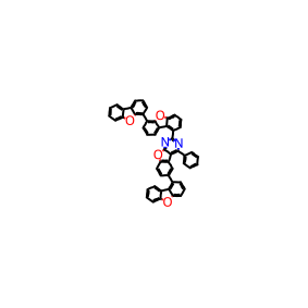 c1ccc(-c2nc(-c3cccc4oc5c(-c6cccc7c6oc6ccccc67)cccc5c34)nc3oc4ccc(-c5cccc6oc7ccccc7c56)cc4c23)cc1